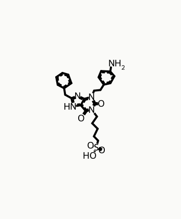 Nc1ccc(CCn2c(=O)n(CCCCCS(=O)(=O)O)c(=O)c3[nH]c(Cc4ccccc4)nc32)cc1